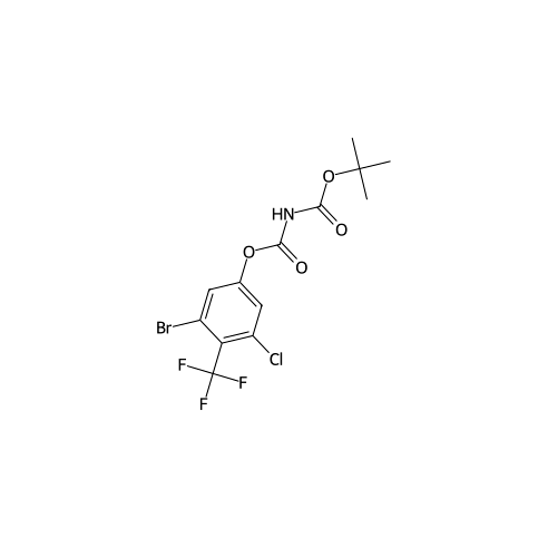 CC(C)(C)OC(=O)NC(=O)Oc1cc(Cl)c(C(F)(F)F)c(Br)c1